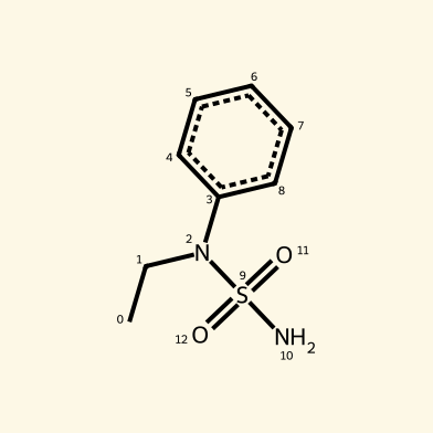 CCN(c1ccccc1)S(N)(=O)=O